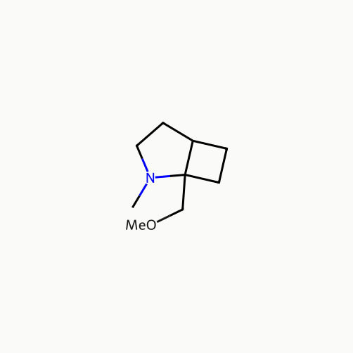 COCC12CCC1CCN2C